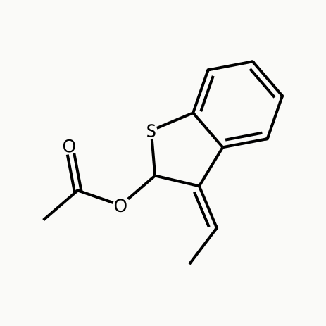 CC=C1c2ccccc2SC1OC(C)=O